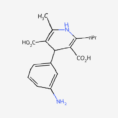 CCCC1=C(C(=O)O)C(c2cccc(N)c2)C(C(=O)O)=C(C)N1